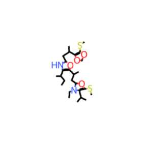 CCC(C)C1=C(C(C)CC2OC(SC)=C(C(C)C)N2CC)OC(CC(C)C2=C(SC)OCO2)N1